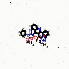 CCn1ncnc1C(OC)c1c(-c2ccccc2)nc2ccccc2c1C(=O)NN(C(=O)OC)c1ccccc1